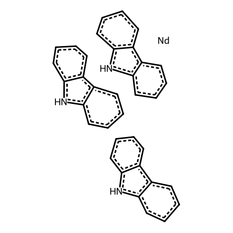 [Nd].c1ccc2c(c1)[nH]c1ccccc12.c1ccc2c(c1)[nH]c1ccccc12.c1ccc2c(c1)[nH]c1ccccc12